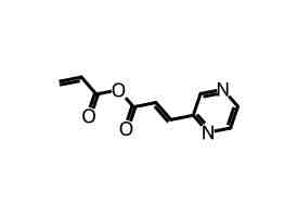 C=CC(=O)OC(=O)/C=C/c1cnccn1